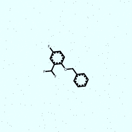 Fc1ccc(OCc2ccccc2)c(C(F)F)c1